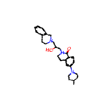 CC1CCN(c2ccc3c(c2)CCN(CC(O)CN2CCc4ccccc4C2)C3=O)CC1